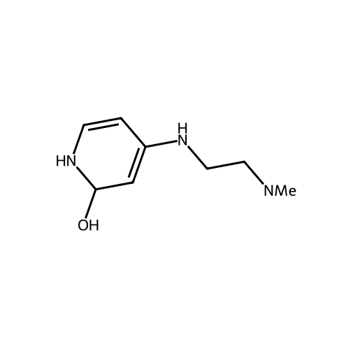 CNCCNC1=CC(O)NC=C1